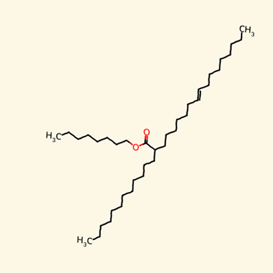 CCCCCCCCC=CCCCCCCC(CCCCCCCCCCCC)C(=O)OCCCCCCCC